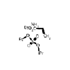 C=CC(=O)OCC.CCOS(=O)(=O)OC(C)C.N